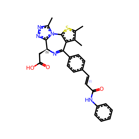 Cc1sc2c(c1C)C(c1ccc(/C=C/C(=O)Nc3ccccc3)cc1)=N[C@@H](CC(=O)O)c1nnc(C)n1-2